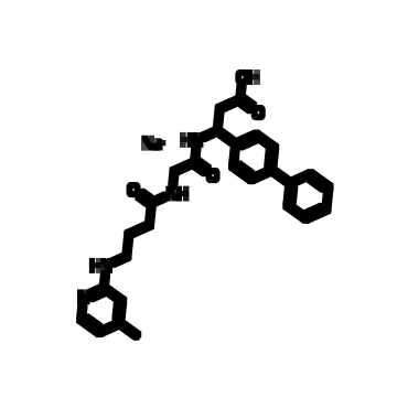 Cc1ccnc(NCCCC(=O)NCC(=O)NC(CC(=O)O)c2ccc(-c3ccccc3)cc2)c1.[Na]